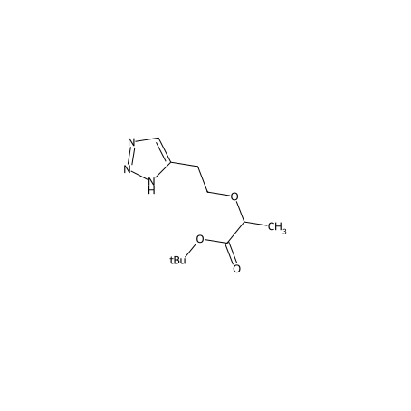 CC(OCCc1cnn[nH]1)C(=O)OC(C)(C)C